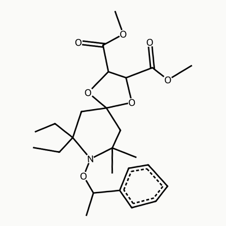 CCC1(CC)CC2(CC(C)(C)N1OC(C)c1ccccc1)OC(C(=O)OC)C(C(=O)OC)O2